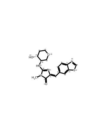 CN1C(=O)/C(=C/c2ccc3ncsc3c2)N=C1N[C@@H]1COCC[C@H]1O